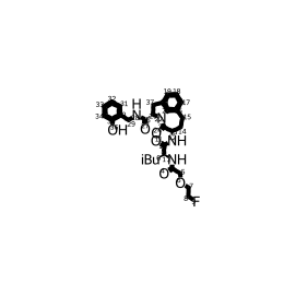 CC[C@H](C)[C@H](NC(=O)COCCF)C(=O)N[C@H]1CCc2cccc3c2N(C1=O)[C@H](C(=O)NCc1ccccc1O)C3